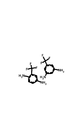 Nc1cc(N)cc(C(F)(F)F)c1.Nc1ccc(N)c(C(F)(F)F)c1